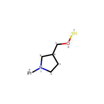 CC(C)N1CCC(COS)C1